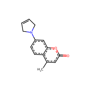 [CH2]c1cc(=O)oc2cc(N3CC=CC3)ccc12